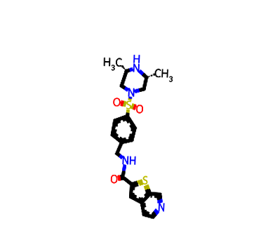 C[C@@H]1CN(S(=O)(=O)c2ccc(CNC(=O)c3cc4ccncc4s3)cc2)C[C@H](C)N1